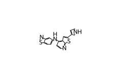 C1=C(c2cc3c(Nc4ccc5scnc5c4)ccnc3s2)CNC1